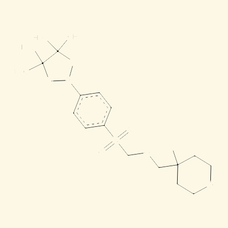 CC1(COCS(=O)(=O)c2ccc(B3OC(C)(C)C(C)(C)O3)cc2)CCOCC1